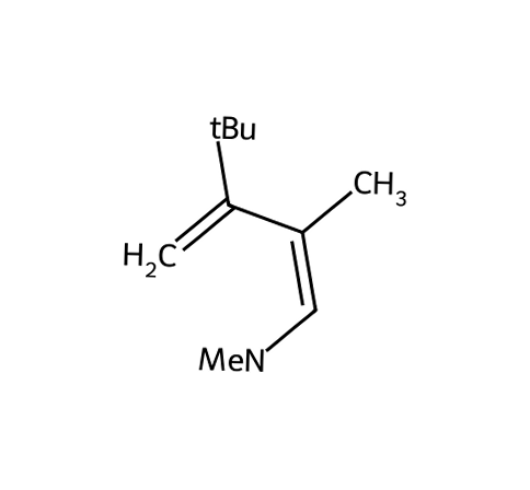 C=C(/C(C)=C\NC)C(C)(C)C